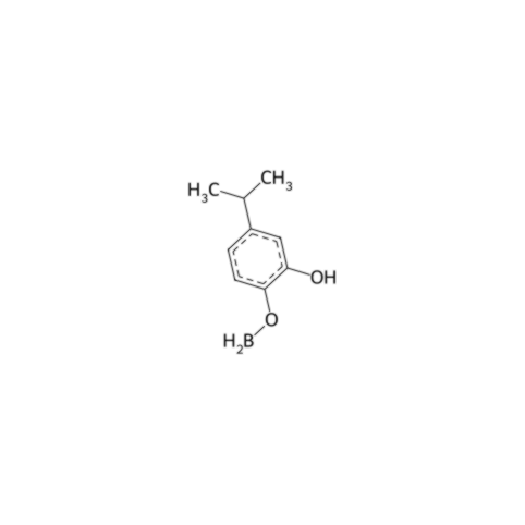 BOc1ccc(C(C)C)cc1O